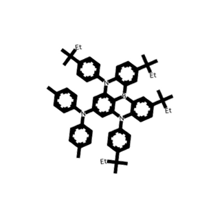 CCC(C)(C)c1ccc(N2c3ccc(C(C)(C)CC)cc3B3c4cc(C(C)(C)CC)ccc4N(c4ccc(C(C)(C)CC)cc4)c4cc(N(c5ccc(C)cc5)c5ccc(C)cc5)cc2c43)cc1